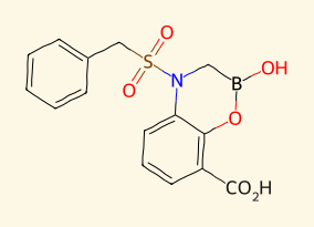 O=C(O)c1cccc2c1OB(O)CN2S(=O)(=O)Cc1ccccc1